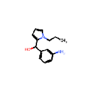 CCCn1cccc1C(O)c1cccc(N)c1